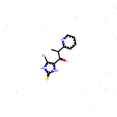 CCc1[nH]c(=S)[nH]c1C(=O)C(C)c1ccccn1